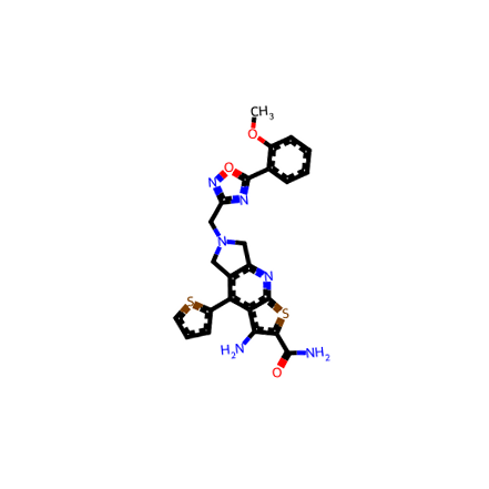 COc1ccccc1-c1nc(CN2Cc3nc4sc(C(N)=O)c(N)c4c(-c4cccs4)c3C2)no1